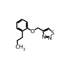 CCCc1ccccc1OCc1csnn1